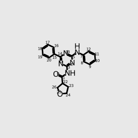 O=C(Nc1nc(Nc2ccccc2)nc(-c2ccccc2)n1)C1CCOC1